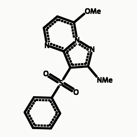 CNc1nn2c(OC)ccnc2c1S(=O)(=O)c1ccccc1